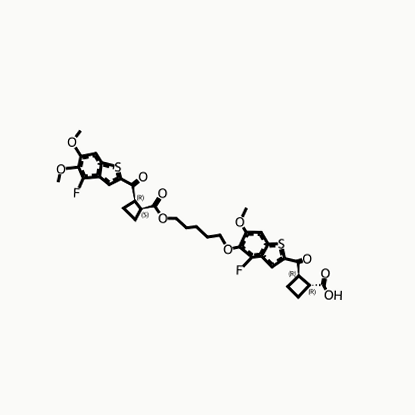 COc1cc2sc(C(=O)[C@@H]3CC[C@@H]3C(=O)OCCCCCOc3c(OC)cc4sc(C(=O)[C@@H]5CC[C@H]5C(=O)O)cc4c3F)cc2c(F)c1OC